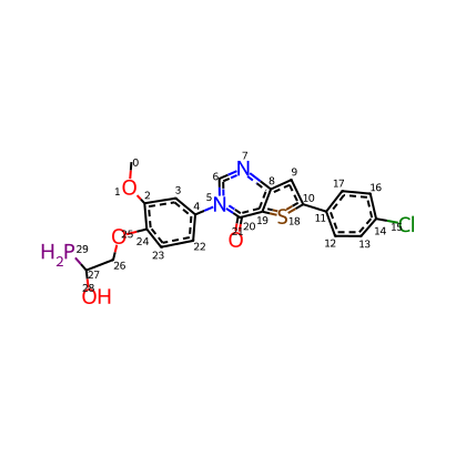 COc1cc(-n2cnc3cc(-c4ccc(Cl)cc4)sc3c2=O)ccc1OCC(O)P